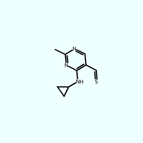 Cc1ncc(C=S)c(NC2CC2)n1